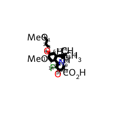 COCCCOc1cc2c(cc1OC)-c1c(F)c(=O)c(C(=O)O)cn1[C@H]1[C@@H]2C1(C)C